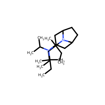 CCCC(C)(CC)N1C2CCC1CC(N(C(C)C)C(C)(C)CC)C2